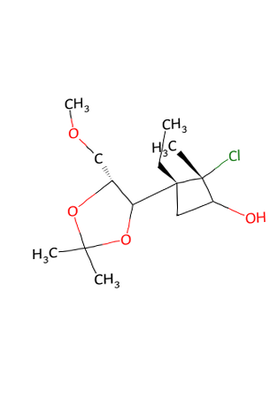 CC[C@]1(C2OC(C)(C)O[C@@H]2COC)CC(O)[C@@]1(C)Cl